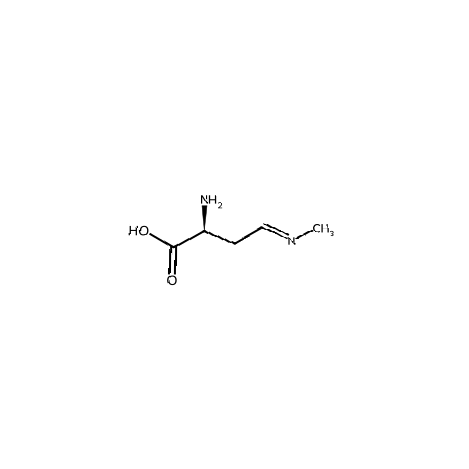 C/N=C/C[C@H](N)C(=O)O